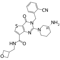 N#Cc1ccccc1Cn1c(N2CCC[C@@H](N)C2)nc2c(C(=O)NCC3COC3)csc2c1=O